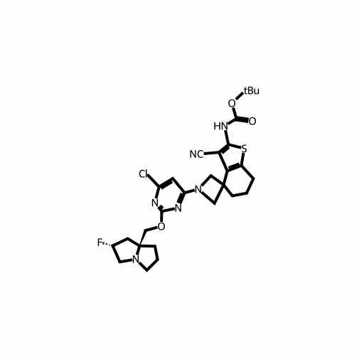 CC(C)(C)OC(=O)Nc1sc2c(c1C#N)C1(CCC2)CN(c2cc(Cl)nc(OC[C@@]34CCCN3C[C@H](F)C4)n2)C1